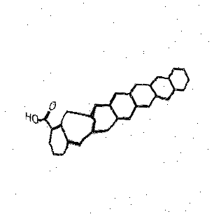 O=C(O)C1CCCC2CC3CC4CC5CC6CC7CCCCC7CC6CC5CC4CC3CC21